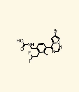 O=C(O)NCc1ccc(-c2ncnn3cc(Br)cc23)c(F)c1CC(F)F